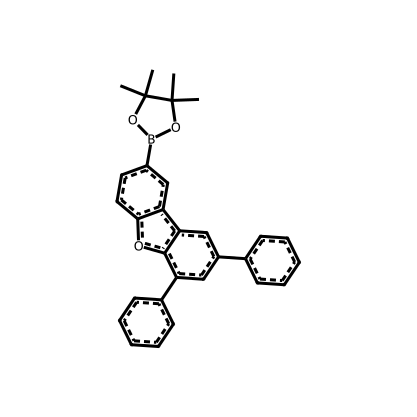 CC1(C)OB(c2ccc3oc4c(-c5ccccc5)cc(-c5ccccc5)cc4c3c2)OC1(C)C